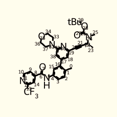 Cc1ccc(NC(=O)c2ccnc(C(F)(F)F)c2)cc1-c1cc(C#C[C@H](C)N(C)C(=O)OC(C)(C)C)nc(N2CCOCC2)c1